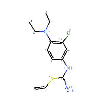 C=CSC(N)Nc1ccc(N(CC)CC)c(Cl)c1